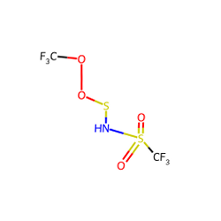 O=S(=O)(NSOOC(F)(F)F)C(F)(F)F